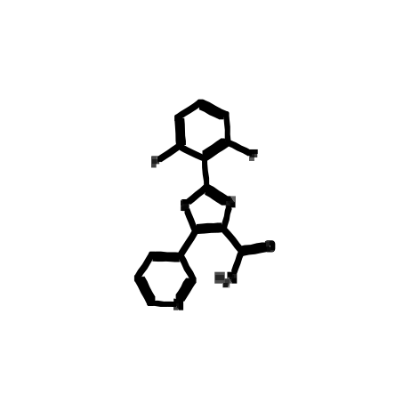 NC(=O)c1nc(-c2c(F)cccc2F)sc1-c1cccnc1